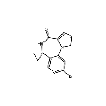 O=C1NC2(CC2)c2ccc(Br)cc2-n2cccc21